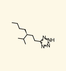 CCCC[C@@H](CCc1nn[nH]n1)C(C)C